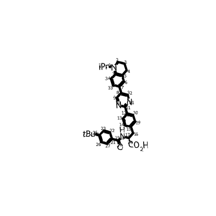 CC(C)N1CCCc2cc(-c3cnc(-c4ccc(C[C@H](NC(=O)c5ccc(C(C)(C)C)cc5)C(=O)O)cc4)nc3)ccc21